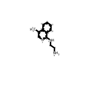 Cc1cnc(NCCN)c2ccccc12